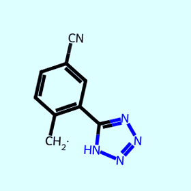 [CH2]c1ccc(C#N)cc1-c1nnn[nH]1